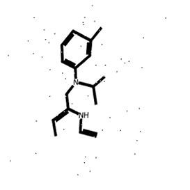 C=CN/C(=C\C)CN(c1cccc(C)c1)C(C)C